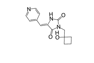 O=C1N/C(=C\c2ccncc2)C(=O)N1CC1(O)CCC1